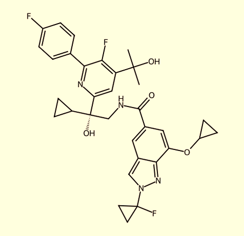 CC(C)(O)c1cc([C@@](O)(CNC(=O)c2cc(OC3CC3)c3nn(C4(F)CC4)cc3c2)C2CC2)nc(-c2ccc(F)cc2)c1F